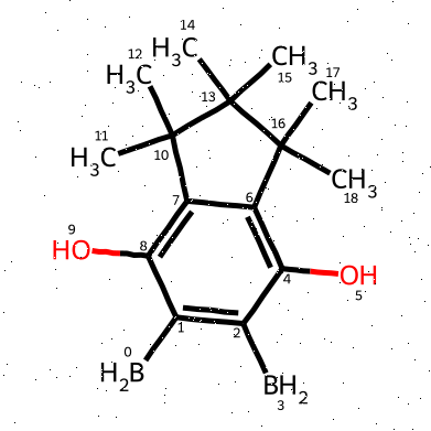 Bc1c(B)c(O)c2c(c1O)C(C)(C)C(C)(C)C2(C)C